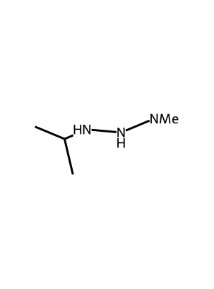 CNNNC(C)C